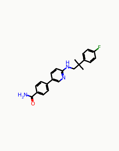 CC(C)(CNc1ccc(-c2ccc(C(N)=O)cc2)cn1)c1ccc(F)cc1